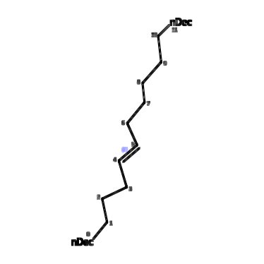 [CH2]CCCCCCCCCCCC/C=C/CCCCCCCCCCCCCC[CH2]